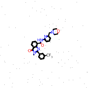 Cn1c(-c2cccc(C(F)(F)F)c2)nc2c(C(=O)Nc3cccc(CN4CCOCC4)n3)cccc2c1=O